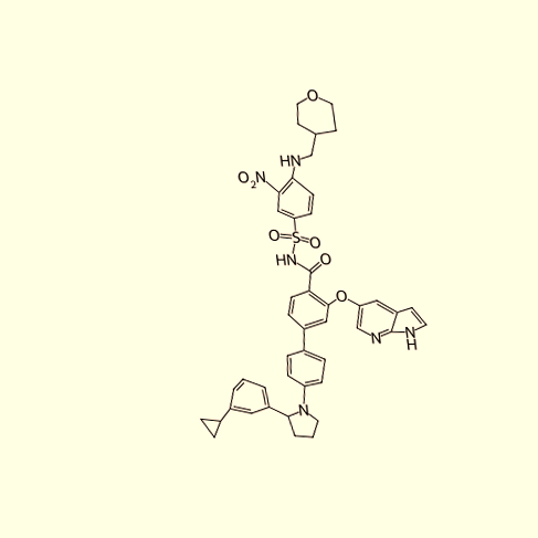 O=C(NS(=O)(=O)c1ccc(NCC2CCOCC2)c([N+](=O)[O-])c1)c1ccc(-c2ccc(N3CCCC3c3cccc(C4CC4)c3)cc2)cc1Oc1cnc2[nH]ccc2c1